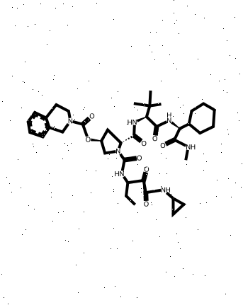 CCC(NC(=O)N1C[C@@H](OC(=O)N2CCc3ccccc3C2)C[C@@H]1C(=O)N[C@H](C(=O)N[C@H](C(=O)NC)C1CCCCC1)C(C)(C)C)C(=O)C(=O)NC1CC1